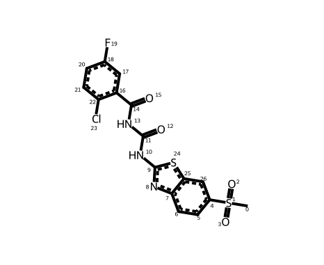 CS(=O)(=O)c1ccc2nc(NC(=O)NC(=O)c3cc(F)ccc3Cl)sc2c1